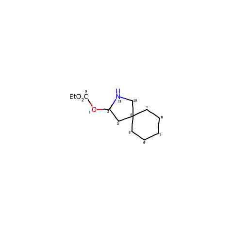 CCOC(=O)OC1CC2(CCCCC2)CN1